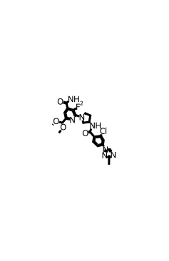 COC(OC)c1cc(C(N)=O)c(F)c(N2CCC(NC(=O)c3ccc(-n4cnc(C)n4)cc3Cl)C2)n1